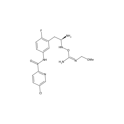 COC/N=C(/N)ON[C@H](N)Cc1cc(NC(=O)c2ccc(Cl)cn2)ccc1F